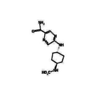 NC(=O)c1cnc(N[C@H]2CC[C@H](NC(=O)O)CC2)cn1